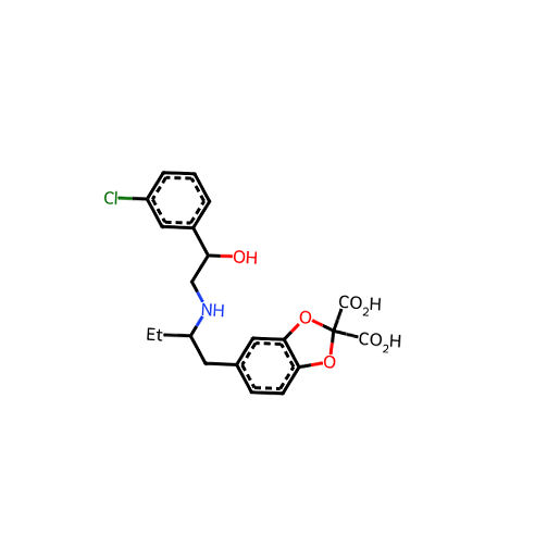 CCC(Cc1ccc2c(c1)OC(C(=O)O)(C(=O)O)O2)NCC(O)c1cccc(Cl)c1